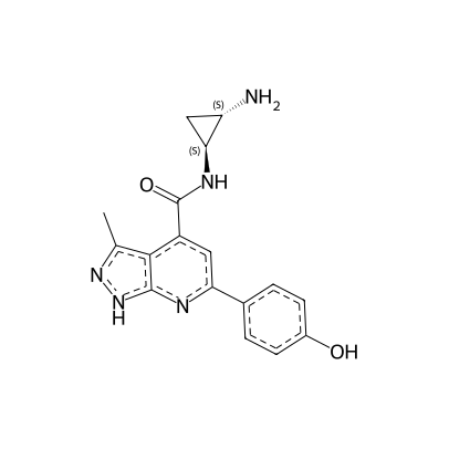 Cc1n[nH]c2nc(-c3ccc(O)cc3)cc(C(=O)N[C@H]3C[C@@H]3N)c12